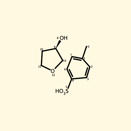 Cc1ccc(S(=O)(=O)O)cc1.O[C@@H]1CCOC1